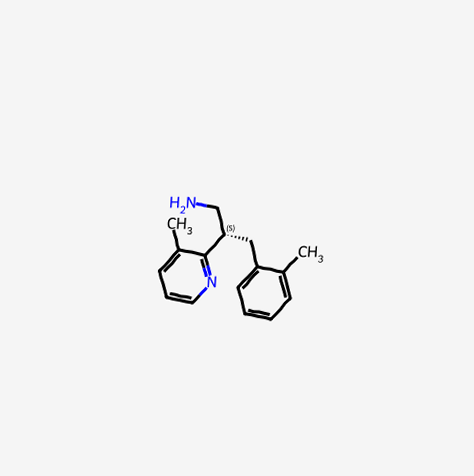 Cc1ccccc1C[C@@H](CN)c1ncccc1C